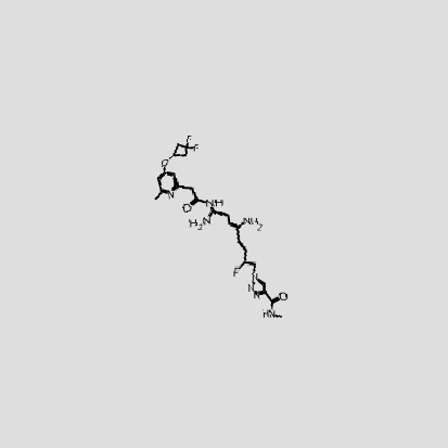 CNC(=O)c1cn(CC(F)CC/C(N)=C/C=C(\N)NC(=O)Cc2cc(OC3CC(F)(F)C3)cc(C)n2)nn1